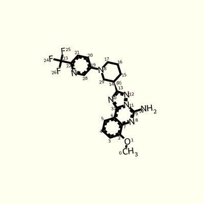 COc1cccc2c1nc(N)n1nc([C@@H]3CCCN(c4ccc(C(F)(F)F)nc4)C3)nc21